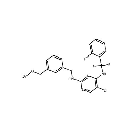 CC(C)OCc1cccc(CNc2ncc(Cl)c(NC(F)(F)c3ccccc3F)n2)c1